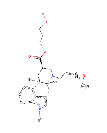 C=CCN1C[C@H](C(=O)OCCCOCC)C[C@@H]2c3cccc4c3c(cn4CCC)C[C@H]21.O=S(=O)(O)O